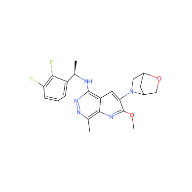 COc1nc2c(C)nnc(N[C@H](C)c3cccc(F)c3F)c2cc1N1CC2CC1CO2